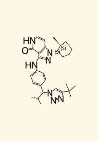 CC(C)C(c1ccc(Nc2nn([C@H]3CCCC[C@@H]3C)c3cc[nH]c(=O)c23)cc1)n1cc(C(C)(C)C)nn1